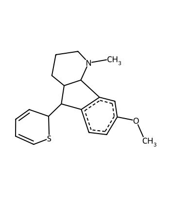 COc1ccc2c(c1)C1C(CCCN1C)C2C1C=CC=CS1